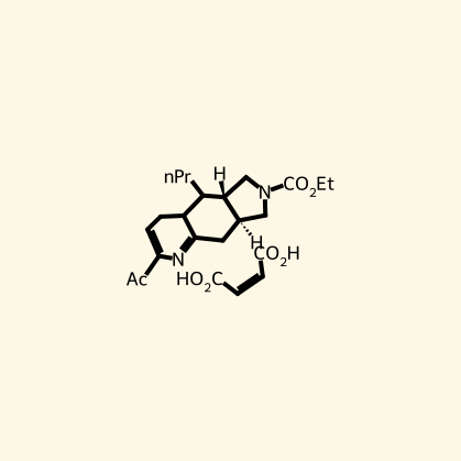 CCCC1C2CC=C(C(C)=O)N=C2C[C@@H]2CN(C(=O)OCC)C[C@@H]12.O=C(O)/C=C\C(=O)O